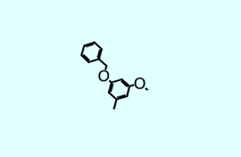 COc1cc(C)cc(OCc2ccccc2)c1